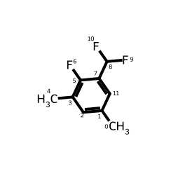 Cc1cc(C)c(F)c(C(F)F)c1